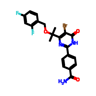 CC(C)(OCc1ccc(F)cc1F)c1nc(-c2ccc(C(N)=O)cc2)[nH]c(=O)c1Br